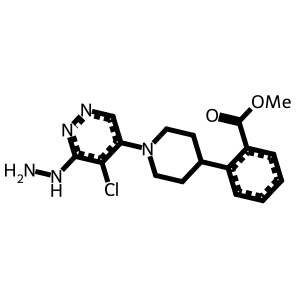 COC(=O)c1ccccc1C1CCN(c2cnnc(NN)c2Cl)CC1